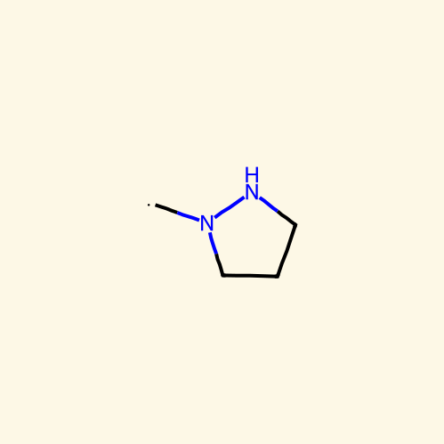 [CH2]N1CCCN1